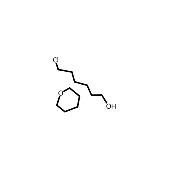 C1CCOCC1.OCCCCCCCl